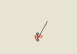 CCCCCCCCCCCCCCCCCC(=O)C(CC(=O)c1ccccc1)C(=O)c1ccccc1